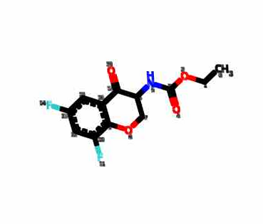 CCOC(=O)NC1COc2c(F)cc(F)cc2C1=O